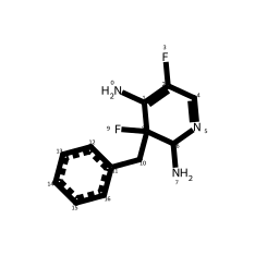 NC1=C(F)C=NC(N)C1(F)Cc1ccccc1